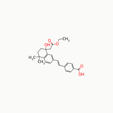 CCOC(=O)CC1(O)CCC(C)(C)c2ccc(C=Cc3ccc(C(=O)O)cc3)cc21